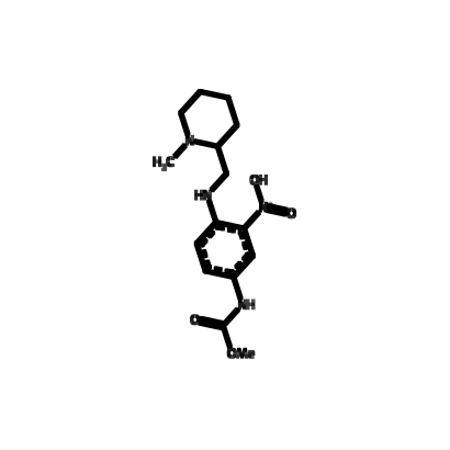 COC(=O)Nc1ccc(NCC2CCCCN2C)c([N+](=O)O)c1